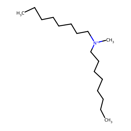 CCCCCCCC[N+](C)CCCCCCCC